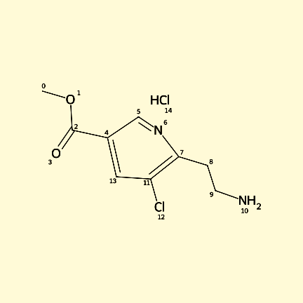 COC(=O)c1cnc(CCN)c(Cl)c1.Cl